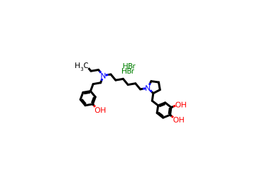 Br.Br.CCCN(CCCCCCN1CCCC1Cc1ccc(O)c(O)c1)CCc1cccc(O)c1